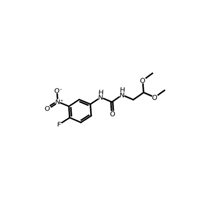 COC(CNC(=O)Nc1ccc(F)c([N+](=O)[O-])c1)OC